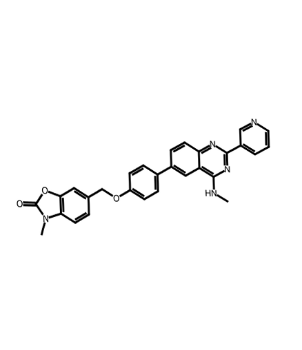 CNc1nc(-c2cccnc2)nc2ccc(-c3ccc(OCc4ccc5c(c4)oc(=O)n5C)cc3)cc12